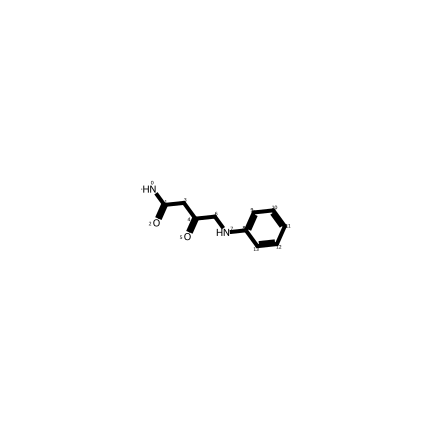 [NH]C(=O)CC(=O)CNc1ccccc1